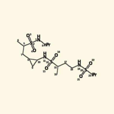 CCCNS(=O)(=O)C(C)CC1CC1NS(=O)(=O)C(C)CCNS(=O)(=O)C(C)C